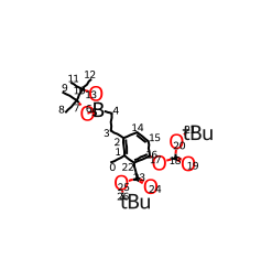 Cc1c(CCB2OC(C)(C)C(C)(C)O2)ccc(OC(=O)OC(C)(C)C)c1C(=O)OC(C)(C)C